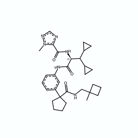 Cn1ncnc1C(=O)N[C@H](C(=O)Nc1cccc(C2(C(=O)NCC3(C)CCC3)CCCC2)c1)C(C1CC1)C1CC1